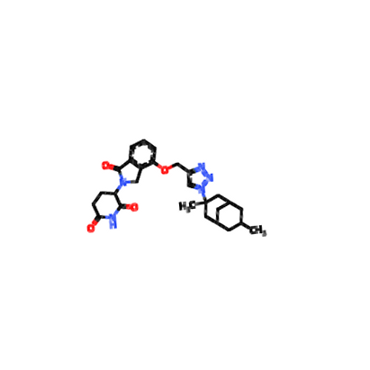 CC1CC2CC(C1)CC(C)(n1cc(COc3cccc4c3CN(C3CCC(=O)NC3=O)C4=O)nn1)C2